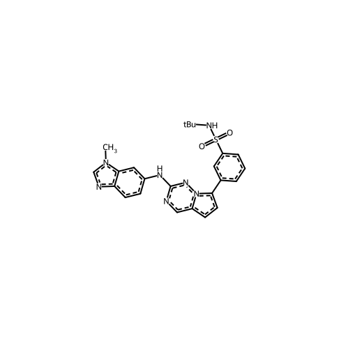 Cn1cnc2ccc(Nc3ncc4ccc(-c5cccc(S(=O)(=O)NC(C)(C)C)c5)n4n3)cc21